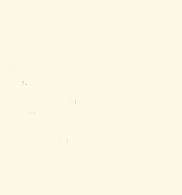 Cc1cc(OC2CN(C(=O)C3CC3)C2)cc(C)c1-c1cccc(COc2ccc3c(c2)OCC3CC(=O)O)c1